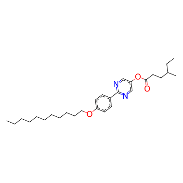 CCCCCCCCCCCOc1ccc(-c2ncc(OC(=O)CCC(C)CC)cn2)cc1